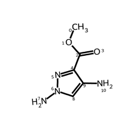 COC(=O)c1nn(N)cc1N